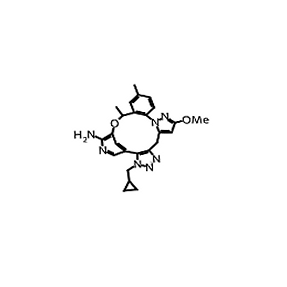 COc1cc2n(n1)-c1ccc(C)cc1C(C)Oc1cc(cnc1N)-c1c(nnn1CC1CC1)C2